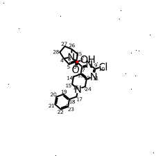 O=C(O)N1C2C=C(c3nc(Cl)nc4c3CCN(Cc3ccccc3)C4)CC1CC2